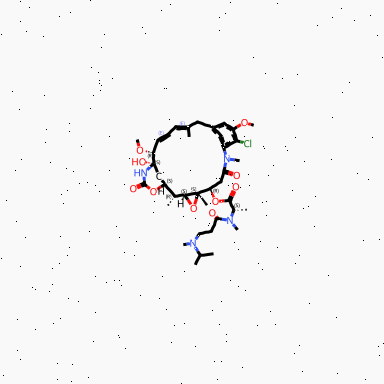 COc1cc2cc(c1Cl)N(C)C(=O)C[C@@H](OC(=O)[C@H](C)N(C)C(=O)CCN(C)C(C)C)[C@]1(C)O[C@H]1[C@H](C)[C@@H]1C[C@@](O)(NC(=O)O1)[C@H](OC)/C=C/C=C(\C)C2